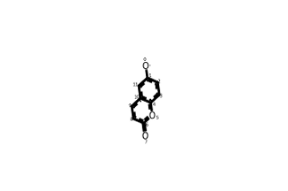 [O]c1ccc2oc(=O)ccc2c1